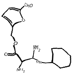 NC(NC1CCCCC1)C(N)C(=O)OCc1ccc(C=O)o1